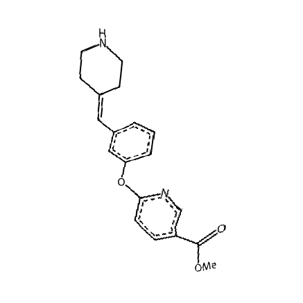 COC(=O)c1ccc(Oc2cccc(C=C3CCNCC3)c2)nc1